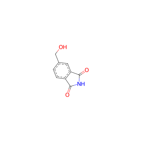 O=C1NC(=O)c2cc(CO)ccc21